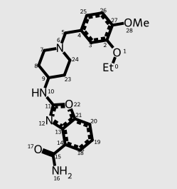 CCOc1cc(CN2CCC(Nc3nc4c(C(N)=O)[c]ccc4o3)CC2)ccc1OC